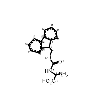 NC(NC(=O)OCC1c2ccccc2-c2ccccc21)C(=O)O